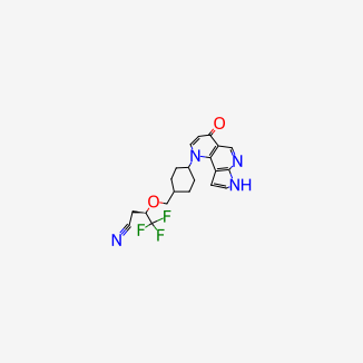 N#CC[C@@H](OCC1CCC(n2ccc(=O)c3cnc4[nH]ccc4c32)CC1)C(F)(F)F